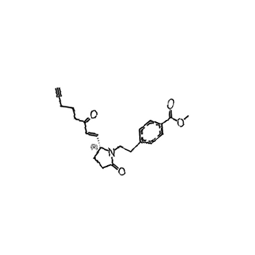 C#CCCCC(=O)C=C[C@H]1CCC(=O)N1CCc1ccc(C(=O)OC)cc1